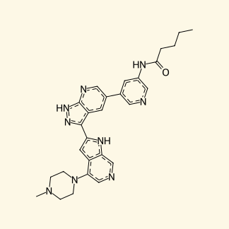 CCCCC(=O)Nc1cncc(-c2cnc3[nH]nc(-c4cc5c(N6CCN(C)CC6)cncc5[nH]4)c3c2)c1